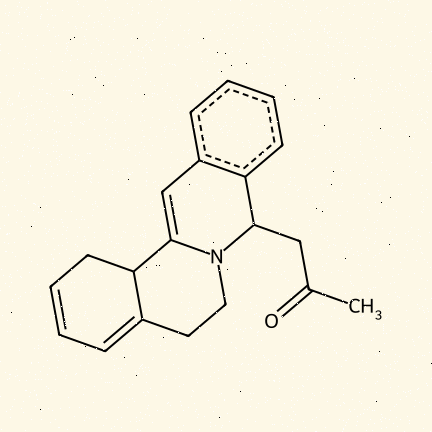 CC(=O)CC1c2ccccc2C=C2C3CC=CC=C3CCN21